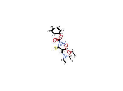 CCOC(=O)C(=CN(CC)CC)C(=S)NC(=O)Oc1ccccc1